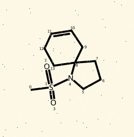 CS(=O)(=O)N1CCCC12CC=CCC2